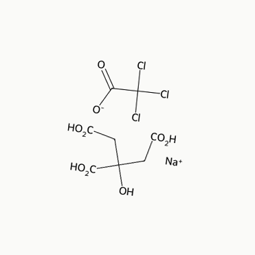 O=C(O)CC(O)(CC(=O)O)C(=O)O.O=C([O-])C(Cl)(Cl)Cl.[Na+]